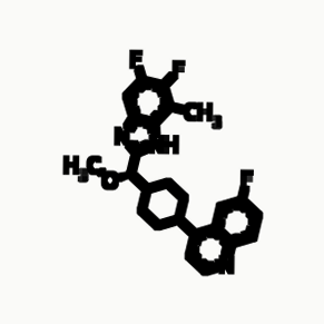 CO[C@@H](c1nc2cc(F)c(F)c(C)c2[nH]1)C1CCC(c2ccnc3ccc(F)cc23)CC1